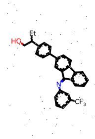 CCC(CO)c1ccc(-c2ccc3c(c2)/C(=N/c2cccc(C(F)(F)F)c2)c2ccccc2-3)cc1